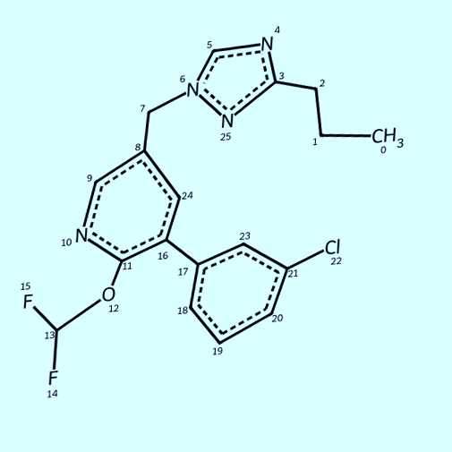 CCCc1ncn(Cc2cnc(OC(F)F)c(-c3cccc(Cl)c3)c2)n1